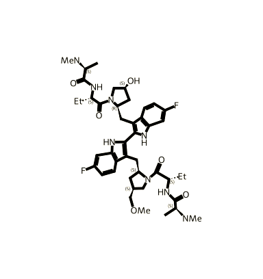 CC[C@H](NC(=O)[C@H](C)NC)C(=O)N1C[C@@H](O)C[C@H]1Cc1c(-c2[nH]c3cc(F)ccc3c2C[C@@H]2C[C@H](COC)CN2C(=O)[C@H](CC)NC(=O)[C@H](C)NC)[nH]c2cc(F)ccc12